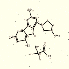 CN[C@@H]1CCN(c2nc(N)nc3c2oc2c(Cl)cc(Cl)cc23)C1.O=C(O)C(F)(F)F